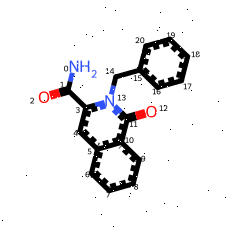 NC(=O)c1cc2[c]cccc2c(=O)n1Cc1ccccc1